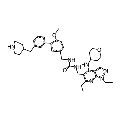 CCc1nc2c(cnn2CC)c(NC2CCOCC2)c1CNC(=O)NCc1ccc(OC)c(-c2cccc(CC3CCNCC3)c2)c1